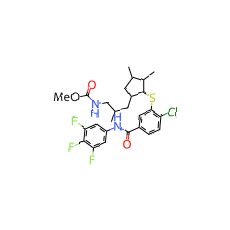 COC(=O)NCC(C)CC1CC(C)C(C)C1Sc1cc(C(=O)Nc2cc(F)c(F)c(F)c2)ccc1Cl